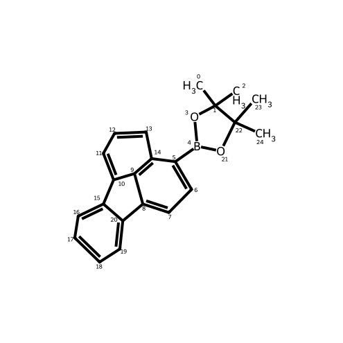 CC1(C)OB(c2ccc3c4c(cccc24)-c2ccccc2-3)OC1(C)C